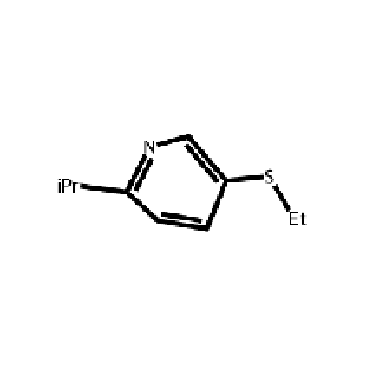 CCSc1ccc(C(C)C)nc1